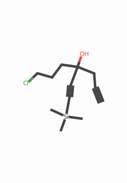 C#CCC(O)(C#C[Si](C)(C)C)CCCCl